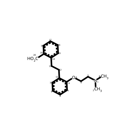 CN(C)CCOc1ccccc1CCc1ccccc1C(=O)O